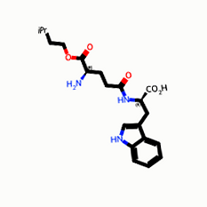 CC(C)CCOC(=O)[C@H](N)CCC(=O)N[C@H](Cc1c[nH]c2ccccc12)C(=O)O